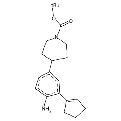 CC(C)(C)OC(=O)N1CCC(c2ccc(N)c(C3=CCCC3)c2)CC1